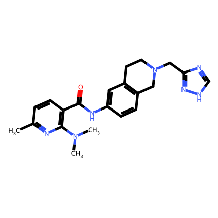 Cc1ccc(C(=O)Nc2ccc3c(c2)CCN(Cc2nc[nH]n2)C3)c(N(C)C)n1